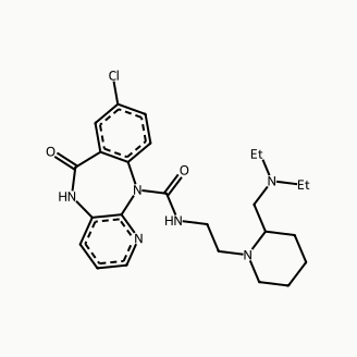 CCN(CC)CC1CCCCN1CCNC(=O)N1c2ccc(Cl)cc2C(=O)Nc2cccnc21